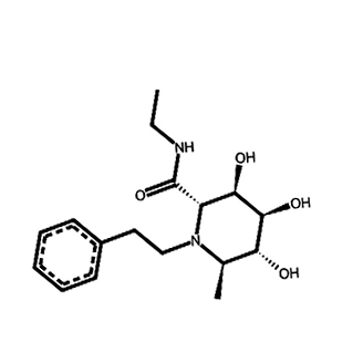 CCNC(=O)[C@@H]1[C@@H](O)[C@@H](O)[C@H](O)[C@@H](C)N1CCc1ccccc1